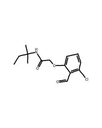 CCC(C)(C)NC(=O)COc1cccc(Cl)c1C=O